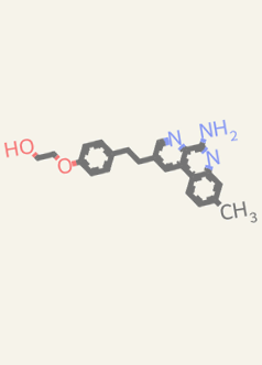 Cc1ccc2c(c1)nc(N)c1ncc(CCc3ccc(OCCO)cc3)cc12